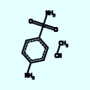 CC#N.Nc1ccc(S(N)(=O)=O)cc1